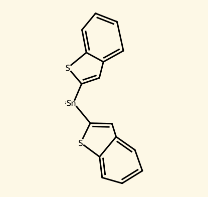 c1ccc2s[c]([Sn][c]3cc4ccccc4s3)cc2c1